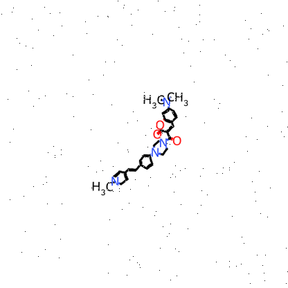 CN1C=CC(C=Cc2ccc(N3CCN(C(=O)c4cc5ccc(N(C)C)cc5oc4=O)CC3)cc2)=CC1